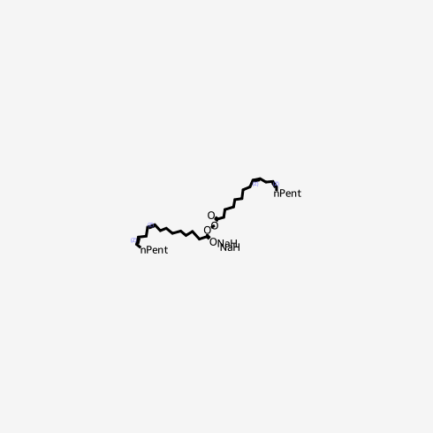 CCCCC/C=C\C/C=C\CCCCCCCC(=O)OOC(=O)CCCCCCC/C=C\C/C=C\CCCCC.[NaH].[NaH]